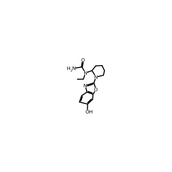 CCN(C(N)=O)C1CCCCN1c1nc2ccc(O)cc2o1